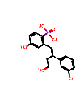 O=P(O)(O)c1ccc(O)cc1CC(CCO)c1cccc(O)c1